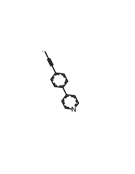 [CH2]C#Cc1ccc(-c2ccncc2)cc1